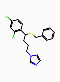 Clc1ccc(C(CCCn2ccnc2)SCc2ccccc2)c(Cl)c1